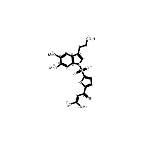 CN/C(=C\C(=N)c1ccc(S(=O)(=O)n2cc(CCC(=O)O)c3cc(OC)c(OC)cc32)s1)C(F)(F)F